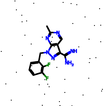 Cc1ncc2c(C(=N)N)nn(Cc3cccc(F)c3F)c2n1